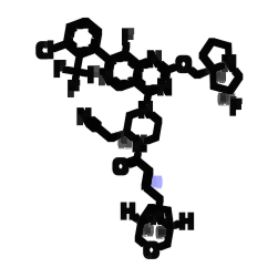 N#CC[C@H]1CN(c2nc(OC[C@@]34CCCN3C[C@H](F)C4)nc3c(F)c(-c4cccc(Cl)c4C(F)(F)F)ncc23)CCN1C(=O)/C=C/CN1[C@@H]2CC[C@H]1COC2